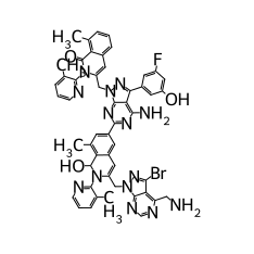 Cc1cccnc1N1C(Cn2nc(Br)c3c(CN)ncnc32)=Cc2cc(-c3nc(N)c4c(-c5cc(O)cc(F)c5)nn(Cc5cc6cccc(C)c6c(=O)n5-c5ncccc5C)c4n3)cc(C)c2C1O